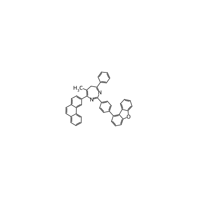 CC1=C(c2ccc3ccc4ccccc4c3c2)N=C(c2ccc(-c3cccc4oc5ccccc5c34)cc2)N=C(c2ccccc2)C1